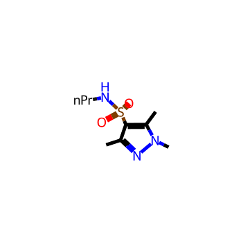 [CH2]CCNS(=O)(=O)c1c(C)nn(C)c1C